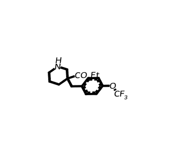 CCOC(=O)C1(Cc2ccc(OC(F)(F)F)cc2)CCCNC1